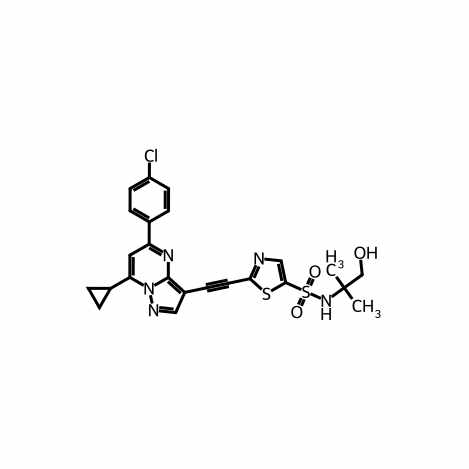 CC(C)(CO)NS(=O)(=O)c1cnc(C#Cc2cnn3c(C4CC4)cc(-c4ccc(Cl)cc4)nc23)s1